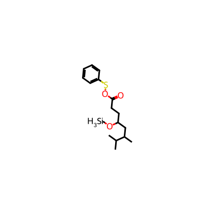 CC(C)C(C)CC(CCC(=O)OSc1ccccc1)O[SiH3]